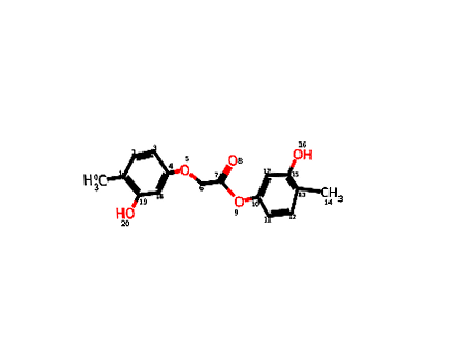 Cc1ccc(OCC(=O)Oc2ccc(C)c(O)c2)cc1O